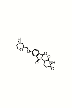 O=C1CCC(N2C(=O)c3ccc(OCC4CNCCO4)cc3C2=O)C(=O)N1